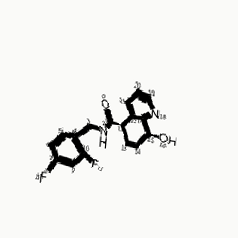 O=C(NCc1ccc(F)cc1F)[C@@H]1CC[C@H](O)c2ncccc21